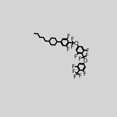 CCCCCC1CCC(c2cc(F)c(C(F)(F)Oc3cc(F)c(C(F)(F)Oc4cc(F)c(C(F)(F)F)c(F)c4)c(F)c3)c(F)c2)CC1